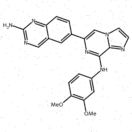 COc1ccc(Nc2nc(-c3ccc4nc(N)ncc4c3)cn3ccnc23)cc1OC